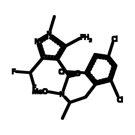 CON(C(=O)c1c(C(F)F)nn(C)c1P)C(C)Cc1c(Cl)cc(Cl)cc1Cl